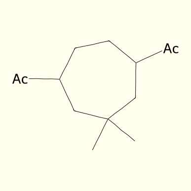 CC(=O)C1CCC(C(C)=O)CC(C)(C)C1